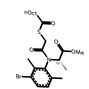 CCCCCCCCC(=O)SCC(=O)N(c1c(C)ccc(Br)c1C)[C@@H](C)C(=O)OC